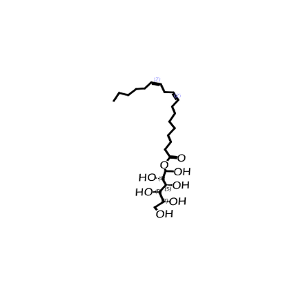 CCCCC/C=C\C/C=C\CCCCCCCC(=O)OC(O)[C@@H](O)[C@@H](O)[C@H](O)[C@H](O)CO